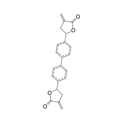 C=C1CC(c2ccc(-c3ccc(C4CC(=C)C(=O)O4)cc3)cc2)OC1=O